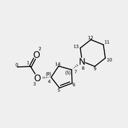 CC(=O)O[C@H]1C=C[C@@H](N2CCCCC2)C1